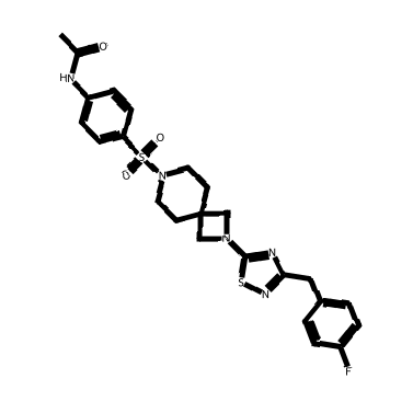 CC(=O)Nc1ccc(S(=O)(=O)N2CCC3(CC2)CN(c2nc(Cc4ccc(F)cc4)ns2)C3)cc1